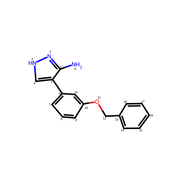 Nc1n[nH]cc1-c1cccc(OCc2ccccc2)c1